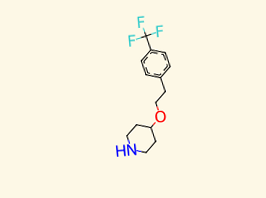 FC(F)(F)c1ccc(CCOC2CCNCC2)cc1